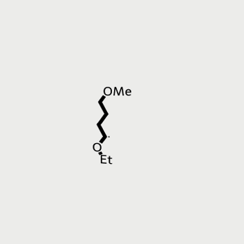 CCO[CH]CCCOC